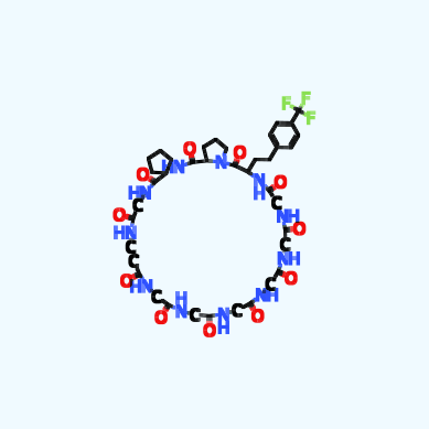 O=C1CCNC(=O)CNC(=O)C2(CCCC2)NC(=O)C2CCCN2C(=O)C(CCc2ccc(C(F)(F)F)cc2)NC(=O)CNC(=O)CNC(=O)CNC(=O)CNC(=O)CNC(=O)CN1